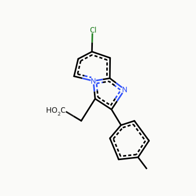 Cc1ccc(-c2nc3cc(Cl)ccn3c2CC(=O)O)cc1